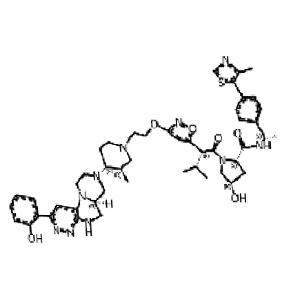 Cc1ncsc1-c1ccc([C@H](C)NC(=O)[C@@H]2C[C@@H](O)CN2C(=O)[C@@H](c2cc(OCCN3CC[C@@H](N4CCN5c6cc(-c7ccccc7O)nnc6NC[C@@H]5C4)[C@H](C)C3)no2)C(C)C)cc1